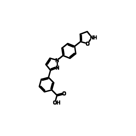 O=C(O)c1cccc(-c2ccn(-c3ccc(C4=CCNO4)cc3)n2)c1